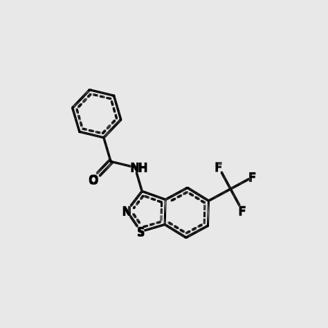 O=C(Nc1nsc2ccc(C(F)(F)F)cc12)c1ccccc1